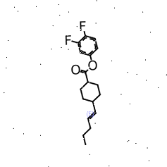 CCC/C=C/C1CCC(C(=O)Oc2ccc(F)c(F)c2)CC1